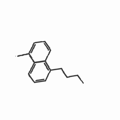 [CH2]c1cccc2c(CCCC)cccc12